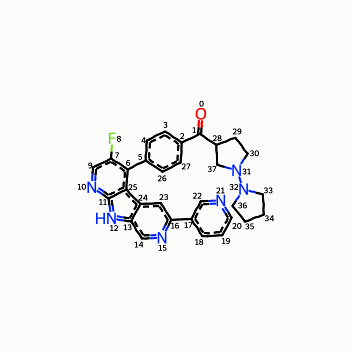 O=C(c1ccc(-c2c(F)cnc3[nH]c4cnc(-c5cccnc5)cc4c23)cc1)C1CCN(N2CCCC2)C1